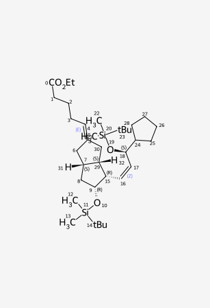 CCOC(=O)CCC/C=C1\C[C@H]2C[C@@H](O[Si](C)(C)C(C)(C)C)[C@@H](/C=C\[C@@H](O[Si](C)(C)C(C)(C)C)C3CCCC3)[C@H]2C1